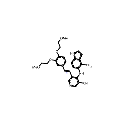 COCCOc1ccc(/C=C/c2cncc(C#N)c2Nc2ccc3[nH]ccc3c2C)cc1OCCOC